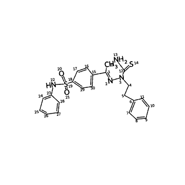 C/C(=N\N(CCc1ccccc1)C(N)=S)c1ccc(S(=O)(=O)Nc2ccccc2)cc1